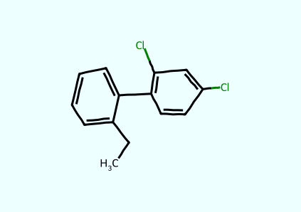 CCc1ccccc1-c1ccc(Cl)cc1Cl